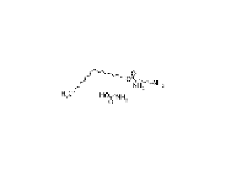 CCCCCCCC/C=C\CCCCCCCCOC(=O)[C@@H](N)CCCCN.NCC(=O)O